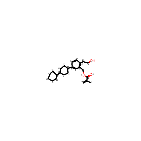 C=C(C)C(=O)OCc1cc(C2CCC(C3CCCCC3)CC2)ccc1CCO